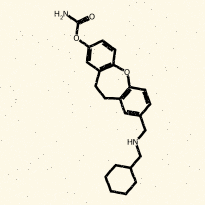 NC(=O)Oc1ccc2c(c1)CCc1cc(CNCC3CCCCC3)ccc1O2